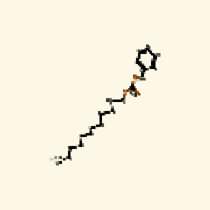 CCCCCCCCCCCCSC(=S)SCc1ccccc1